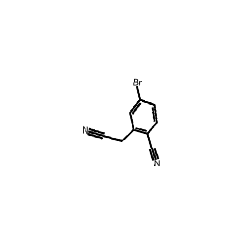 N#CCc1cc(Br)ccc1C#N